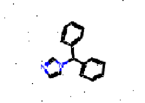 c1ccc(C(c2ccccc2)n2ccnc2)cc1